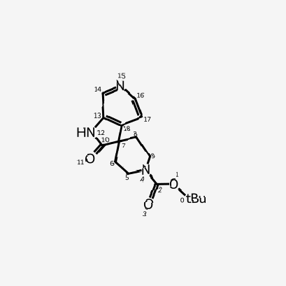 CC(C)(C)OC(=O)N1CCC2(CC1)C(=O)Nc1cnccc12